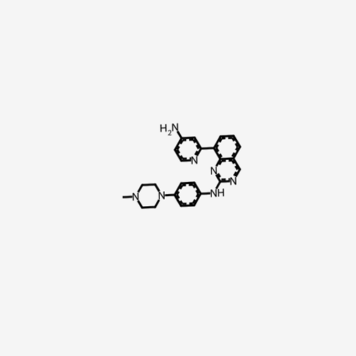 CN1CCN(c2ccc(Nc3ncc4cccc(-c5cc(N)ccn5)c4n3)cc2)CC1